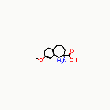 COC1=CC2=C(CCCC(N)(C(=O)O)C2)CC1